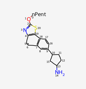 CCCCCOc1nc2ccc3cc(C4CCC(N)C4)ccc3c2s1